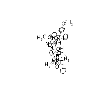 C#C[C@]1(O)[C@H](n2cnc3c(OCC)nc(NC(c4ccccc4)(c4ccccc4)c4ccc(OC)cc4)nc32)O[C@](F)(COP(C)(=O)N[C@@H](C)C(=O)CC2CCCCC2)[C@H]1C